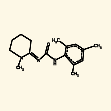 Cc1cc(C)c(NC(=O)N=C2CCCCN2C)c(C)c1